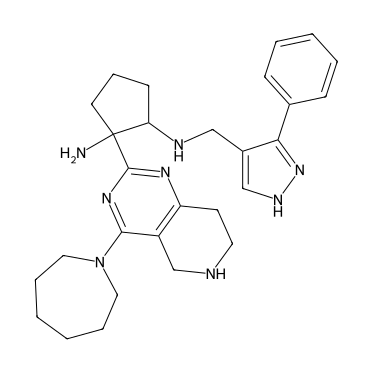 NC1(c2nc3c(c(N4CCCCCC4)n2)CNCC3)CCCC1NCc1c[nH]nc1-c1ccccc1